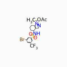 CC(=O)OC(C)n1ncc2c1CCCC2NS(=O)(=O)c1cc(Br)cc(C(F)(F)F)c1